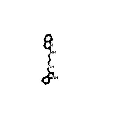 c1ccc2nc(NCCCNCc3c[nH]c4ccccc34)ccc2c1